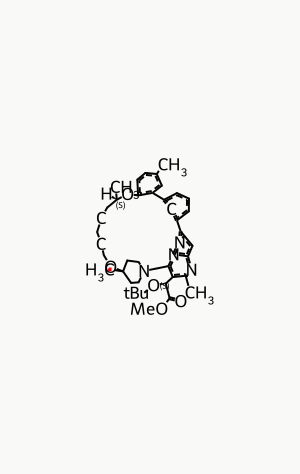 COC(=O)[C@@H](OC(C)(C)C)c1c(C)nc2cc3nn2c1N1CCC(C)(CC1)OCCCCC[C@H](C)Oc1ccc(C)cc1-c1cccc-3c1